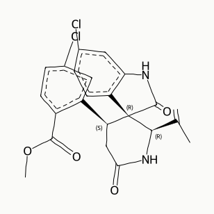 C=C(C)[C@H]1NC(=O)C[C@@H](c2cc(Cl)ccc2C(=O)OC)[C@]12C(=O)Nc1cc(Cl)ccc12